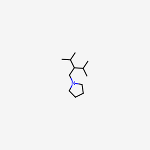 CC(C)C(CN1CCCC1)C(C)C